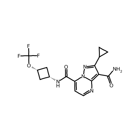 NC(=O)c1c(C2CC2)nn2c(C(=O)N[C@H]3C[C@@H](OC(F)(F)F)C3)ccnc12